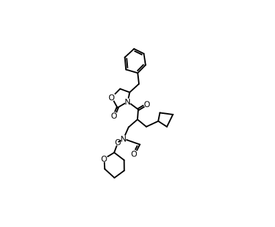 O=CN(CC(CC1CCC1)C(=O)N1C(=O)OCC1Cc1ccccc1)OC1CCCCO1